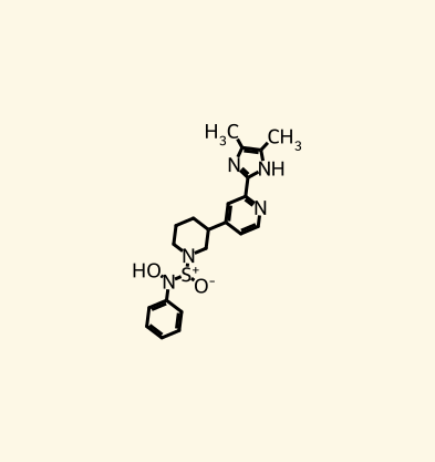 Cc1nc(-c2cc(C3CCCN([S+]([O-])N(O)c4ccccc4)C3)ccn2)[nH]c1C